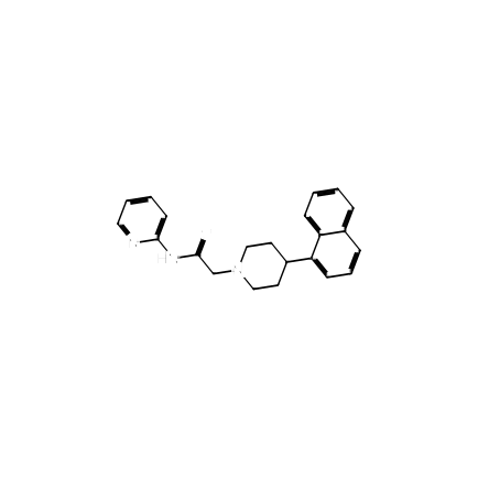 O=C(CN1CCC(c2cccc3ccccc23)CC1)Nc1ccccn1